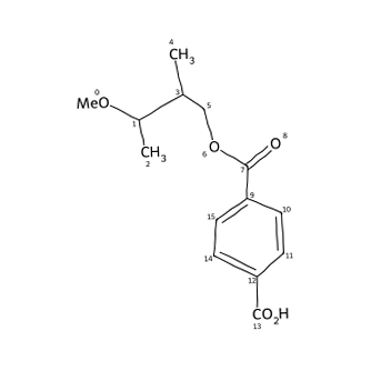 COC(C)C(C)COC(=O)c1ccc(C(=O)O)cc1